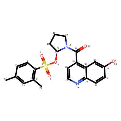 Cc1ccc(S(=O)(=O)O[C@H]2CCCN2C(=O)c2ccnc3ccc(Br)cc23)c(C)c1